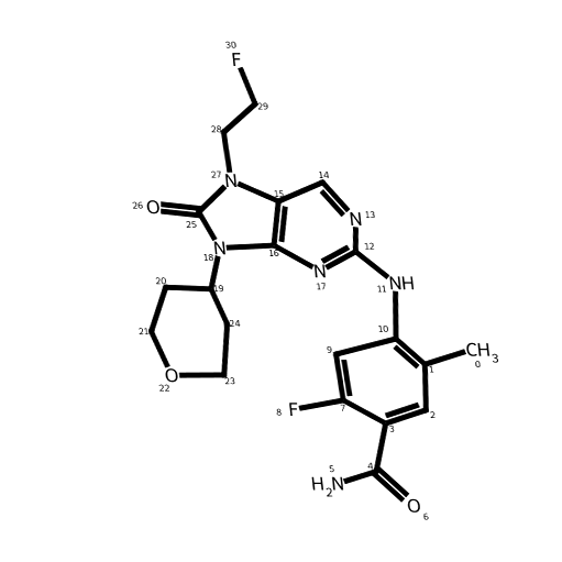 Cc1cc(C(N)=O)c(F)cc1Nc1ncc2c(n1)n(C1CCOCC1)c(=O)n2CCF